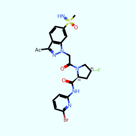 CC(=O)c1nn(CC(=O)N2C[C@H](F)C[C@H]2C(=O)Nc2cccc(Br)n2)c2cc(S(C)(=N)=O)ccc12